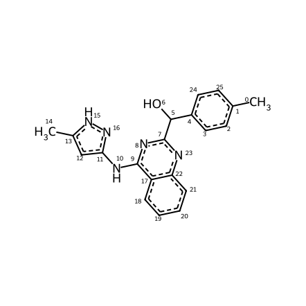 Cc1ccc(C(O)c2nc(Nc3cc(C)[nH]n3)c3ccccc3n2)cc1